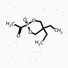 CCC1(CC)COP(=O)(C(C)=O)OC1